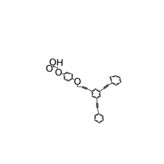 O=C(O)COc1ccc(OCC#Cc2cc(C#Cc3ccccc3)cc(C#Cc3ccccc3)c2)cc1